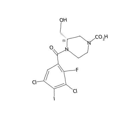 O=C(O)N1CCN(C(=O)c2cc(Cl)c(I)c(Cl)c2F)[C@H](CO)C1